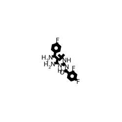 CC(C)(C)N/C(=N/C(=O)c1ccc(F)cc1F)NC(N)CC(N)c1ccc(F)cc1